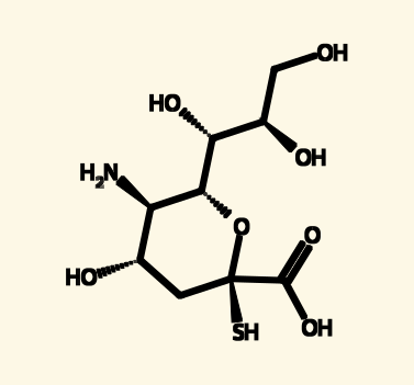 N[C@H]1[C@H]([C@H](O)[C@H](O)CO)O[C@](S)(C(=O)O)C[C@@H]1O